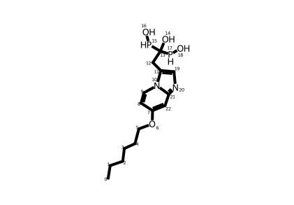 CCCCCCOc1ccn2c(CC(O)(PO)PO)cnc2c1